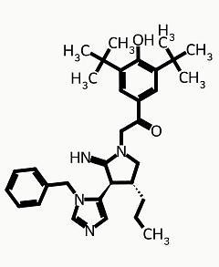 CCC[C@H]1CN(CC(=O)c2cc(C(C)(C)C)c(O)c(C(C)(C)C)c2)C(=N)[C@@H]1c1cncn1Cc1ccccc1